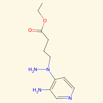 CCOC(=O)CCCN(N)c1ccncc1N